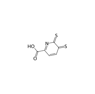 O=C(O)C1=NC(=S)C(=S)C=C1